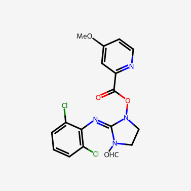 COc1ccnc(C(=O)ON2CCN(C=O)C2=Nc2c(Cl)cccc2Cl)c1